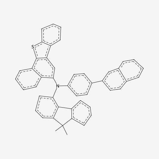 CC1(C)c2ccccc2-c2c(N(c3ccc(-c4ccc5ccccc5c4)cc3)c3cc4c5ccccc5sc4c4ccccc34)cccc21